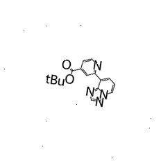 CC(C)(C)OC(=O)c1ccnc(-c2cccn3ncnc23)c1